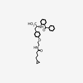 O=C(CCCC1CC1)NCCOc1ccc(C[C@H](Nc2ccccc2C(=O)c2ccccc2)C(=O)O)cc1